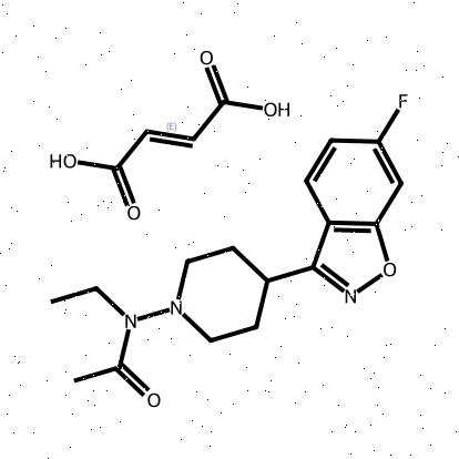 CCN(C(C)=O)N1CCC(c2noc3cc(F)ccc23)CC1.O=C(O)/C=C/C(=O)O